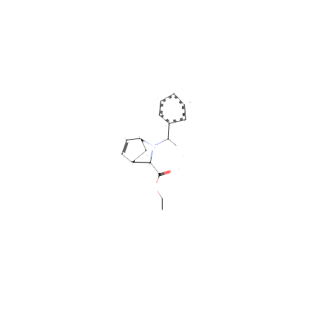 CCOC(=O)C1C2C=CC(C2)N1C(C)c1ccccc1